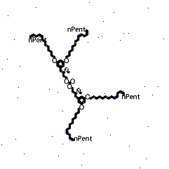 CCCCC/C=C\C/C=C\CCCCCCCCOc1cc(CC(CCOC(=O)OCCC(Cc2cc(OCCCCCCCC/C=C\C/C=C\CCCCC)cc(OCCCCCCCC/C=C\C/C=C\CCCCC)c2)N(C)C)N(C)C)cc(OCCCCCCCC/C=C\C/C=C\CCCCC)c1